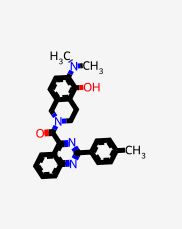 Cc1ccc(-c2nc(C(=O)N3CCc4c(ccc(N(C)C)c4O)C3)c3ccccc3n2)cc1